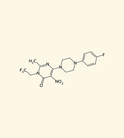 Cc1nc(N2CCN(c3ccc(F)cc3)CC2)c([N+](=O)[O-])c(=O)n1CC(F)(F)F